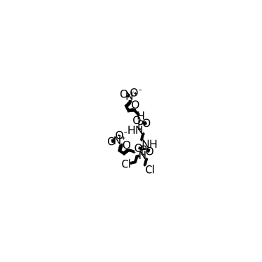 O=[N+]([O-])c1ccc(CO[PH](=O)NCCNP(=O)(OCc2ccc([N+](=O)[O-])o2)N(CCCl)CCCl)o1